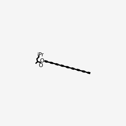 C#CC#CC#CC#CC#CC#CC#CC#CC#COC(=O)C(C)CCC(C)C